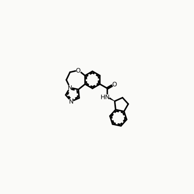 O=C(N[C@H]1CCc2ccccc21)c1ccc2c(c1)-c1cncn1CCO2